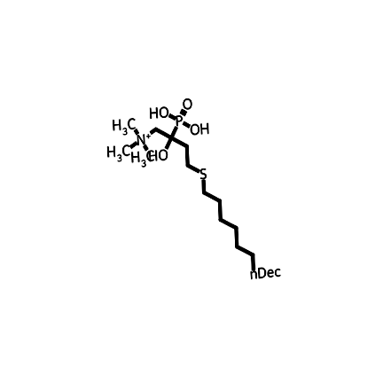 CCCCCCCCCCCCCCCCSCCC(O)(C[N+](C)(C)C)P(=O)(O)O